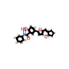 O=C1CCCC1=Cc1ccc(-c2ccc(O)c(C(=O)Nc3ccccc3)c2)o1